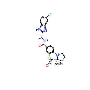 CN[C@]1(C=C=O)CCCN1c1ccc(C(=O)N[C@@H](C)c2nc3cc(Cl)ccc3[nH]2)cc1Cl